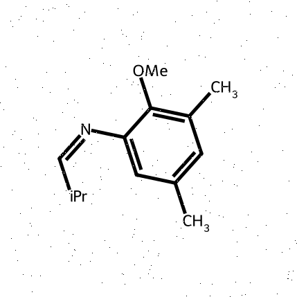 COc1c(C)cc(C)cc1/N=C\C(C)C